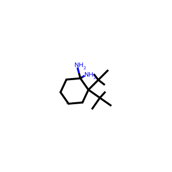 CC(C)(C)C1(C(C)(C)C)C[CH]CCC1(N)N